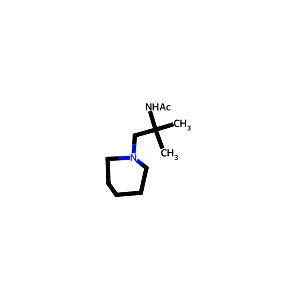 CC(=O)NC(C)(C)CN1CCCCC1